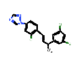 FC(F)(F)C(/C=C/c1ccc(-n2cncn2)cc1Cl)c1cc(Cl)cc(Cl)c1